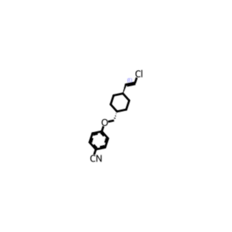 N#Cc1ccc(OC[C@H]2CC[C@H](/C=C/Cl)CC2)cc1